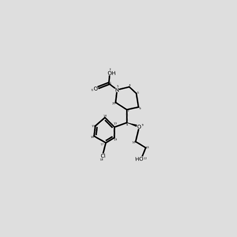 O=C(O)N1CCCC([C@@H](OCCO)c2cccc(Cl)c2)C1